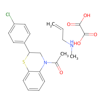 C=CCNC.CC(=O)N1CC(c2ccc(Cl)cc2)Sc2ccccc21.O=C(O)C(=O)O